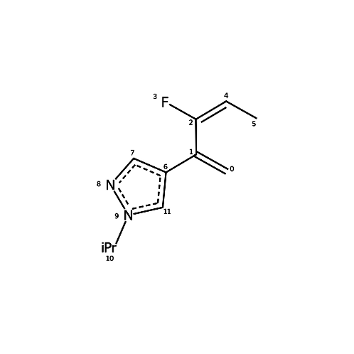 C=C(/C(F)=C\C)c1cnn(C(C)C)c1